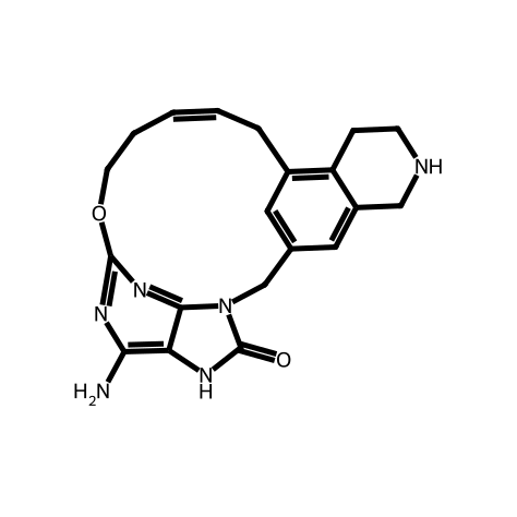 Nc1nc2nc3c1[nH]c(=O)n3Cc1cc(c3c(c1)CNCC3)C/C=C\CCO2